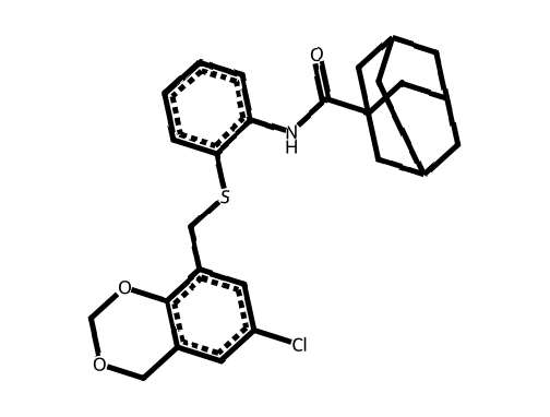 O=C(Nc1ccccc1SCc1cc(Cl)cc2c1OCOC2)C12CC3CC(CC(C3)C1)C2